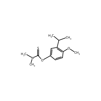 COc1ccc(OC(=S)N(C)C)cc1C(C)C